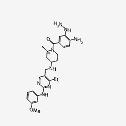 CCc1nc(Nc2cccc(OC)c2)ncc1CNC1CCN(C(=O)c2ccc(N)c(NN)c2)[C@H](C)C1